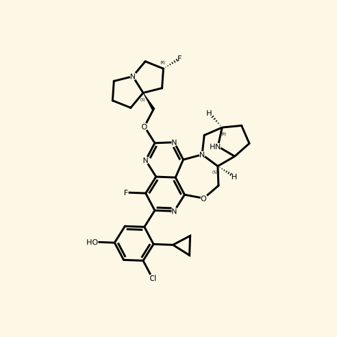 Oc1cc(Cl)c(C2CC2)c(-c2nc3c4c(nc(OC[C@@]56CCCN5C[C@H](F)C6)nc4c2F)N2C[C@H]4CCC(N4)[C@H]2CO3)c1